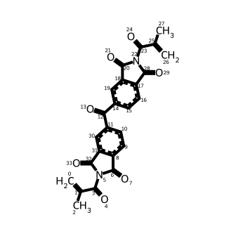 C=C(C)C(=O)N1C(=O)c2ccc(C(=O)c3ccc4c(c3)C(=O)N(C(=O)C(=C)C)C4=O)cc2C1=O